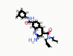 C#CCN(CCC)C(=O)C1=Cc2ccc(C(=O)Nc3cccc(C)c3)cc2N=C(N)C1